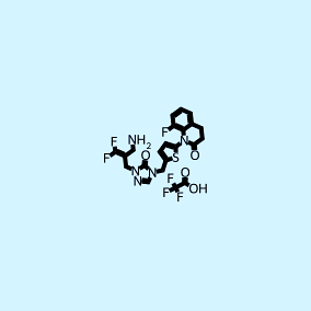 NCC(Cn1ncn(Cc2ccc(N3C(=O)CCc4cccc(F)c43)s2)c1=O)=C(F)F.O=C(O)C(F)(F)F